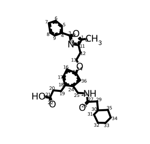 Cc1oc(-c2ccccc2)nc1CCOc1ccc(CCC(=O)O)c(CNC(=O)CC2CCCCC2)c1